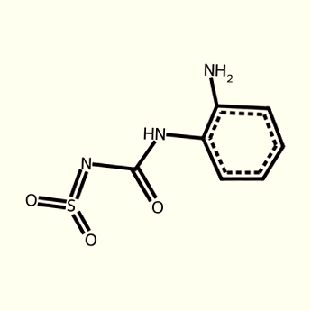 Nc1ccccc1NC(=O)N=S(=O)=O